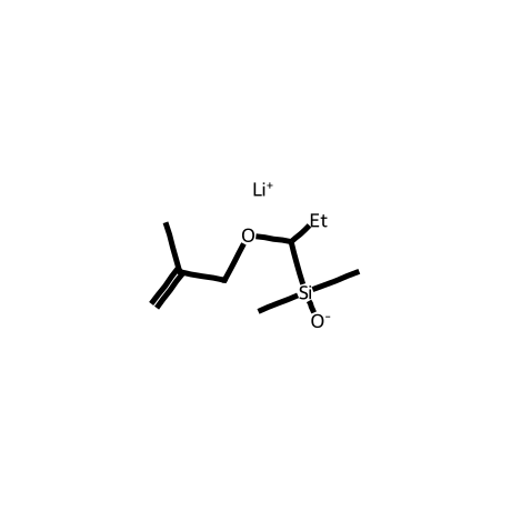 C=C(C)COC(CC)[Si](C)(C)[O-].[Li+]